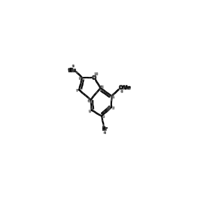 COc1cc(Br)cc2cc(C(C)(C)C)oc12